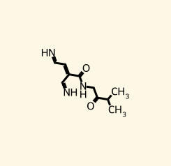 CC(C)C(=O)CNC(=O)/C(C=N)=C/C=N